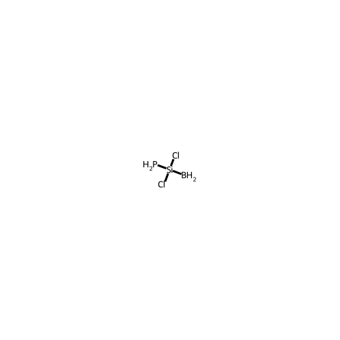 B[Si](P)(Cl)Cl